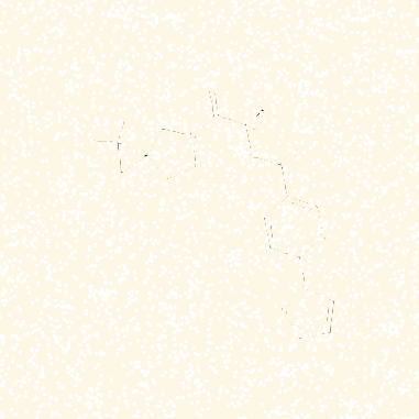 C[C@@H](NC(=O)c1ccc(-n2cccn2)nc1)C(=O)N1CCC2(C1)CC2(F)F